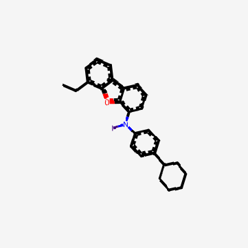 CCc1cccc2c1oc1c(N(I)c3ccc(C4CCCCC4)cc3)cccc12